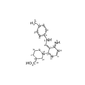 Cc1ccc(N/C=C2\C(=N)N=CN=C2N2CCCC(C(=O)O)C2)cc1